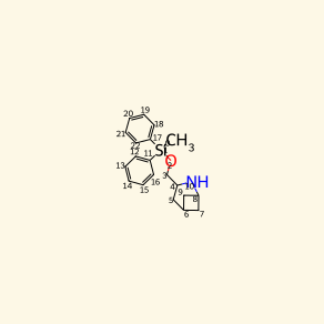 C[Si](OCC1CC2CC(C2)N1)(c1ccccc1)c1ccccc1